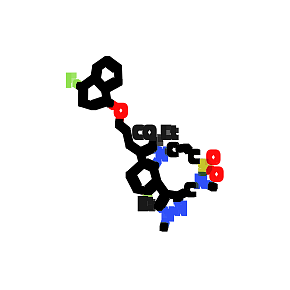 CCOC(=O)c1c(CCCOc2ccc(F)c3ccccc23)c2ccc(F)c3c2n1CCCS(=O)(=O)N(C)Cc1nn(C)c(CC)c1-3